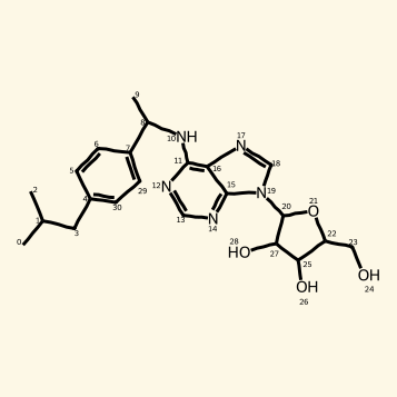 CC(C)Cc1ccc(C(C)Nc2ncnc3c2ncn3C2OC(CO)C(O)C2O)cc1